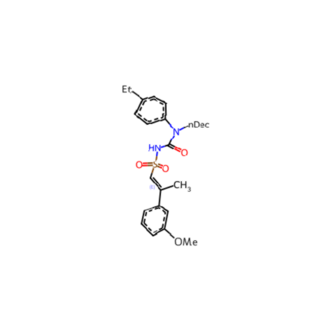 CCCCCCCCCCN(C(=O)NS(=O)(=O)/C=C(\C)c1cccc(OC)c1)c1ccc(CC)cc1